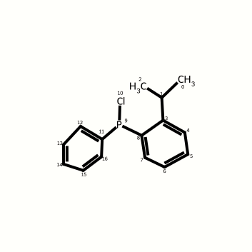 CC(C)c1ccccc1P(Cl)c1ccccc1